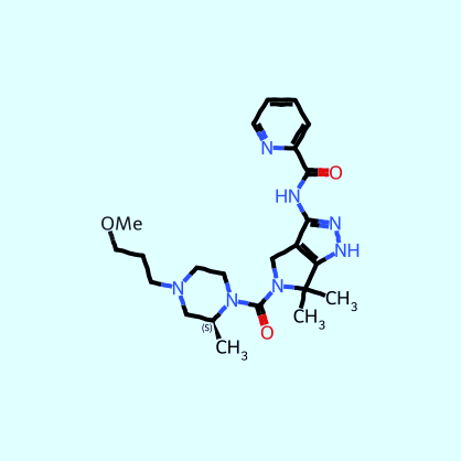 COCCCN1CCN(C(=O)N2Cc3c(NC(=O)c4ccccn4)n[nH]c3C2(C)C)[C@@H](C)C1